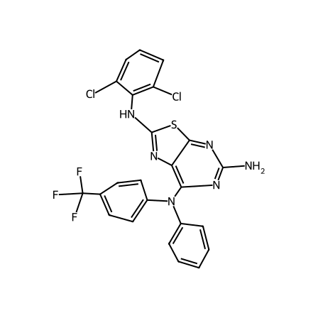 Nc1nc(N(c2ccccc2)c2ccc(C(F)(F)F)cc2)c2nc(Nc3c(Cl)cccc3Cl)sc2n1